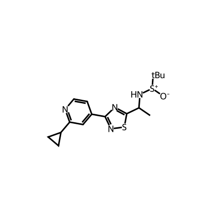 CC(N[S+]([O-])C(C)(C)C)c1nc(-c2ccnc(C3CC3)c2)ns1